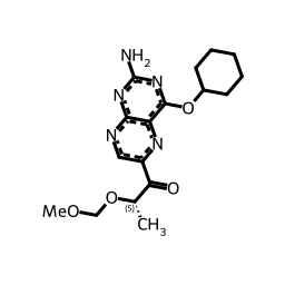 COCO[C@@H](C)C(=O)c1cnc2nc(N)nc(OC3CCCCC3)c2n1